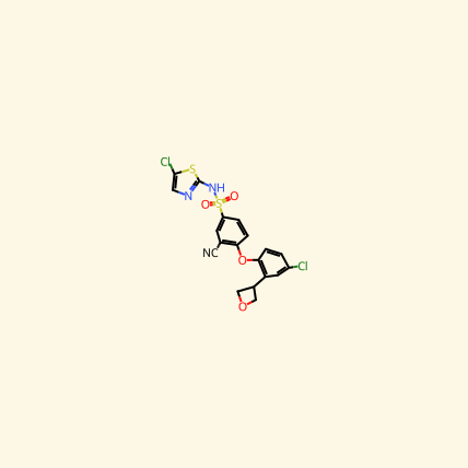 N#Cc1cc(S(=O)(=O)Nc2ncc(Cl)s2)ccc1Oc1ccc(Cl)cc1C1COC1